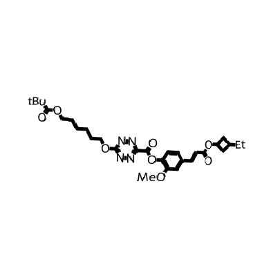 CCC1CC(OC(=O)/C=C/c2ccc(OC(=O)c3nnc(OCCCCCCOC(=O)C(C)(C)C)nn3)c(OC)c2)C1